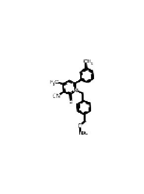 [C-]#[N+]c1c(C(F)(F)F)cc(-c2cccc(C)c2)n(Cc2ccc(COCCCC)cc2)c1=O